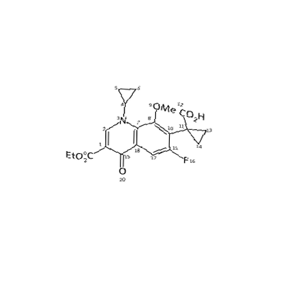 CCOC(=O)c1cn(C2CC2)c2c(OC)c(C3(C(=O)O)CC3)c(F)cc2c1=O